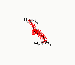 C=C(C)C(=O)OCCCCOc1ccc(C(=O)Oc2ccc(C(=O)Oc3ccc(C(=O)Oc4ccc5ccccc5c4-c4c(OC(=O)c5ccc(OC(=O)c6ccc(OC(=O)c7ccc(OCCCCOC(=O)C(=C)C)cc7)cc6)cc5)ccc5ccccc45)cc3)cc2)cc1